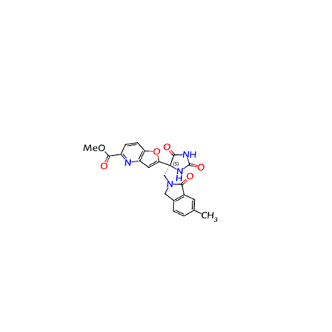 COC(=O)c1ccc2oc([C@]3(CN4Cc5ccc(C)cc5C4=O)NC(=O)NC3=O)cc2n1